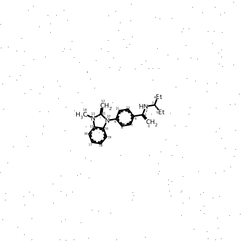 C=C(NC(CC)CC)c1ccc(N2C(=C)N(C)c3ccccc32)cc1